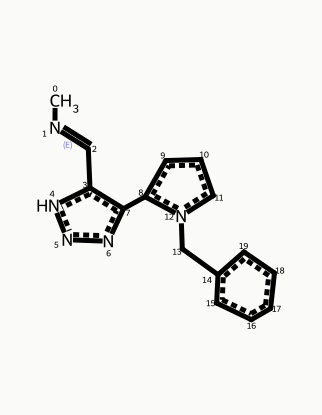 C/N=C/c1[nH]nnc1-c1cccn1Cc1ccccc1